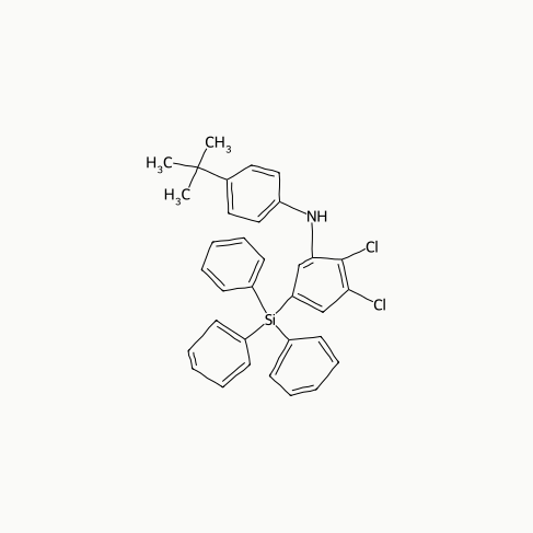 CC(C)(C)c1ccc(Nc2cc([Si](c3ccccc3)(c3ccccc3)c3ccccc3)cc(Cl)c2Cl)cc1